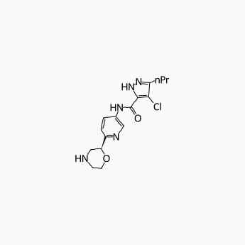 CCCc1n[nH]c(C(=O)Nc2ccc([C@@H]3CNCCO3)nc2)c1Cl